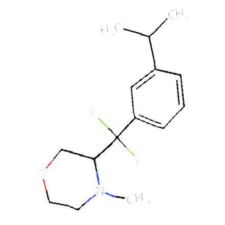 CC(C)c1cccc(C(F)(F)C2COCCN2C)c1